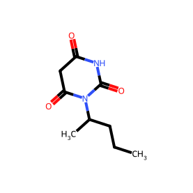 CCCC(C)N1C(=O)CC(=O)NC1=O